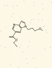 C=C(OCC)c1cnc2ccn(CCCOC)c2c1